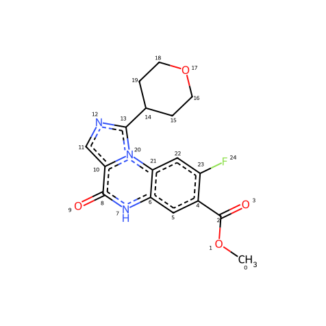 COC(=O)c1cc2[nH]c(=O)c3cnc(C4CCOCC4)n3c2cc1F